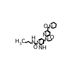 CCCCNC(=O)n1ccc(N2CCOc3cc(C(=O)N4CCCCC4)cnc32)cc1=N